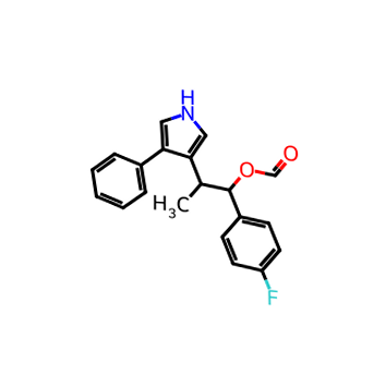 CC(c1c[nH]cc1-c1ccccc1)C(OC=O)c1ccc(F)cc1